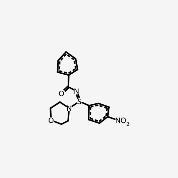 O=C(N=S(c1ccc([N+](=O)[O-])cc1)N1CCOCC1)c1ccccc1